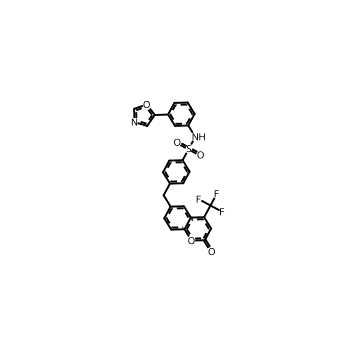 O=c1cc(C(F)(F)F)c2cc(Cc3ccc(S(=O)(=O)Nc4cccc(-c5cnco5)c4)cc3)ccc2o1